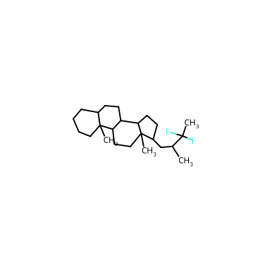 CC(CC1CCC2C3CCC4CCCCC4(C)C3CCC12C)C(C)(F)F